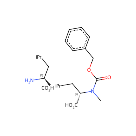 CC(C)C[C@@H](C(=O)O)N(C)C(=O)OCc1ccccc1.CC(C)C[C@H](N)C(=O)O